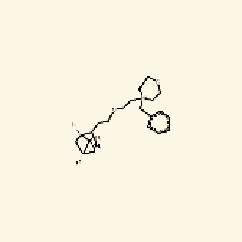 CC1(C)[C@H]2CCC(CCOCC[N+]3(Cc4ccccc4)CCOCC3)[C@@H]1C2